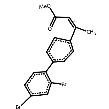 COC(=O)/C=C(/C)c1ccc(-c2ccc(Br)cc2Br)cc1